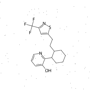 Oc1cccnc1C1CCCCC1CCc1cc(C(F)(F)F)ns1